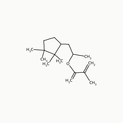 C=C(C)C(=C)OC(C)CC1CCC(C)(C)C1(C)C